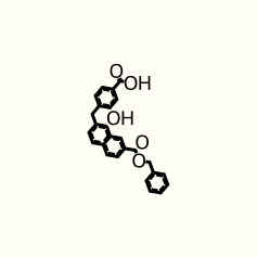 O=C(O)c1ccc(Cc2ccc3ccc(C(=O)OCc4ccccc4)cc3c2O)cc1